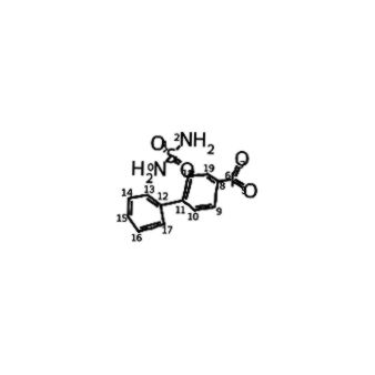 NS(N)(=O)=O.O=I(=O)c1ccc(-c2ccccc2)cc1